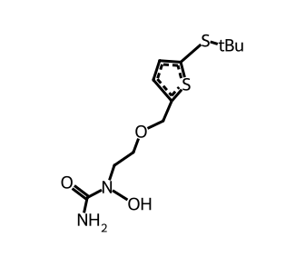 CC(C)(C)Sc1ccc(COCCN(O)C(N)=O)s1